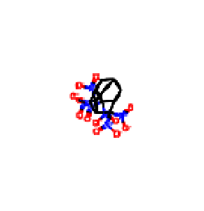 O=[N+]([O-])C1([N+](=O)[O-])C2CC3CC1C([N+](=O)[O-])([N+](=O)[O-])C(C2)C3([N+](=O)[O-])[N+](=O)[O-]